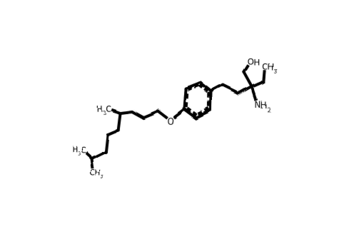 CCC(N)(CO)CCc1ccc(OCCCC(C)CCCC(C)C)cc1